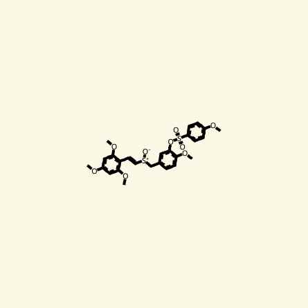 COc1ccc(S(=O)(=O)Oc2cc(C[S+]([O-])/C=C/c3c(OC)cc(OC)cc3OC)ccc2OC)cc1